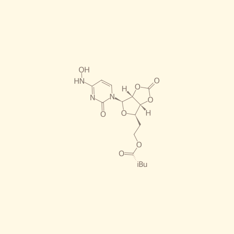 CC[C@@H](C)C(=O)OCC[C@H]1O[C@@H](n2ccc(NO)nc2=O)[C@@H]2OC(=O)O[C@@H]21